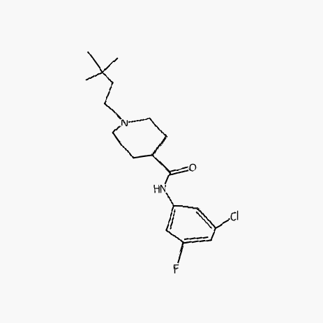 CC(C)(C)CCN1CCC(C(=O)Nc2cc(F)cc(Cl)c2)CC1